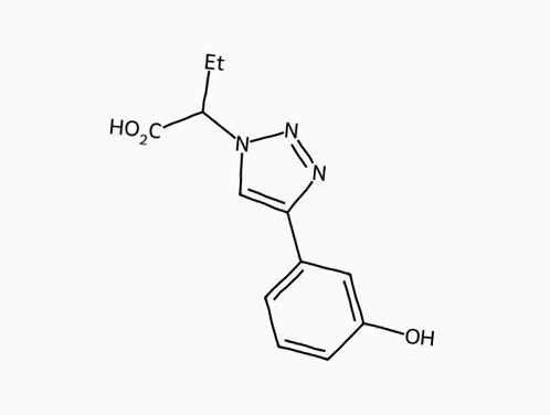 CCC(C(=O)O)n1cc(-c2cccc(O)c2)nn1